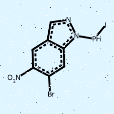 O=[N+]([O-])c1cc2cnn(PI)c2cc1Br